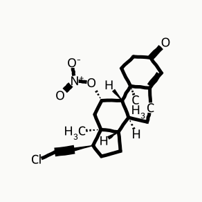 C[C@]12C[C@H](O[N+](=O)[O-])[C@H]3[C@@H](CCC4=CC(=O)CC[C@@]43C)[C@@H]1CC[C@H]2C#CCl